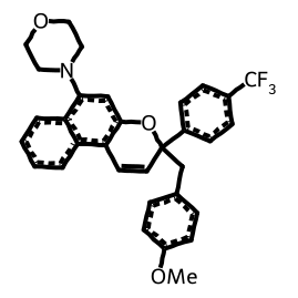 COc1ccc(CC2(c3ccc(C(F)(F)F)cc3)C=Cc3c(cc(N4CCOCC4)c4ccccc34)O2)cc1